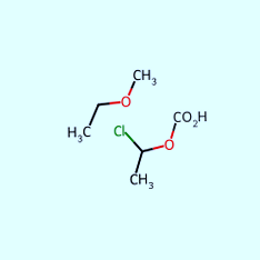 CC(Cl)OC(=O)O.CCOC